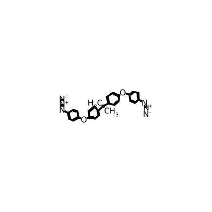 CC(C)(c1ccc(Oc2ccc(N=[N+]=[N-])cc2)cc1)c1ccc(Oc2ccc(N=[N+]=[N-])cc2)cc1